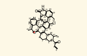 C=CC(=O)N1CC2CCc3c(c4cc(Cl)c(-c5c(C)ccc6[nH]c(=O)oc56)c(F)c4n(-c4c(C(C)C)ncnc4C(C)C)c3=O)N2CC1C